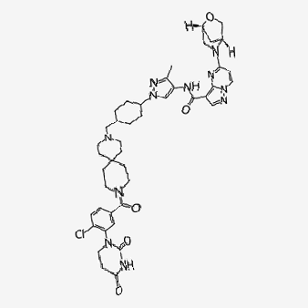 Cc1nn(C2CCC(CN3CCC4(CC3)CCN(C(=O)c3ccc(Cl)c(N5CCC(=O)NC5=O)c3)CC4)CC2)cc1NC(=O)c1cnn2ccc(N3C[C@H]4C[C@@H]3CO4)nc12